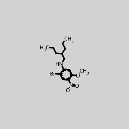 CCCC(CCC)CNc1cc(OC)c([N+](=O)[O-])cc1Br